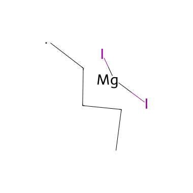 [CH2]CCCC.[I][Mg][I]